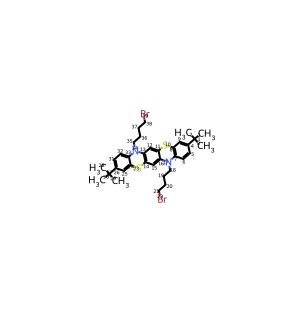 CC(C)(C)c1ccc2c(c1)sc1cc3c(cc1n2CCCCBr)sc1cc(C(C)(C)C)ccc1n3CCCCBr